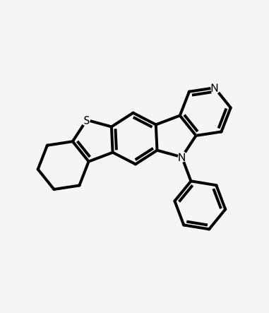 c1ccc(-n2c3ccncc3c3cc4sc5c(c4cc32)CCCC5)cc1